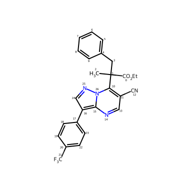 CCOC(=O)C(C)(Cc1ccccc1)c1c(C#N)cnc2c(-c3ccc(C(F)(F)F)cc3)cnn12